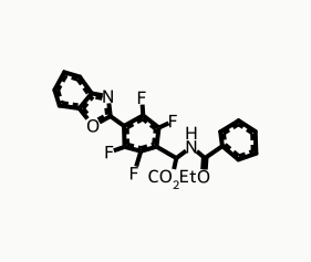 CCOC(=O)C(NC(=O)c1ccccc1)c1c(F)c(F)c(-c2nc3ccccc3o2)c(F)c1F